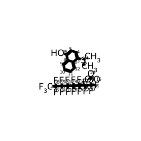 C[S+](C)c1ccc(O)c2ccccc12.O=S(=O)([O-])C(F)(F)C(F)(F)C(F)(F)C(F)(F)C(F)(F)C(F)(F)C(F)(F)C(F)(F)F